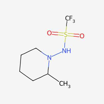 CC1CCCCN1NS(=O)(=O)C(F)(F)F